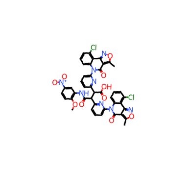 COc1ccc([N+](=O)[O-])cc1NC(=O)C(c1cccc(-n2c(=O)c3c(C)onc3c3c(Cl)cccc32)n1)C(C(=O)O)c1cccc(-n2c(=O)c3c(C)onc3c3c(Cl)cccc32)n1